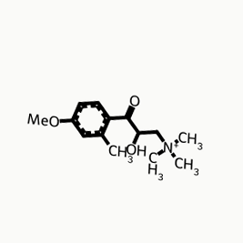 COc1ccc(C(=O)C(O)C[N+](C)(C)C)c(C)c1